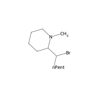 CCCCCC(Br)C1CCCCN1C